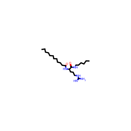 CCCCCCCCCCCC(=O)NC(CCCNC(=N)N)C(=O)NCCCCCC